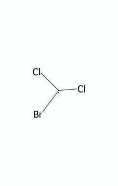 Cl[C](Cl)Br